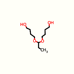 CCC(OCCCCO)OCCCCO